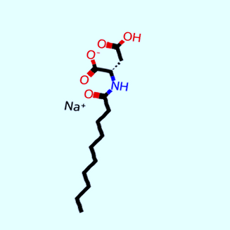 CCCCCCCCCC(=O)N[C@@H](CC(=O)O)C(=O)[O-].[Na+]